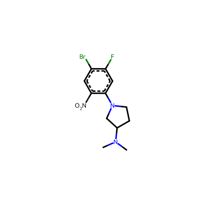 CN(C)C1CCN(c2cc(F)c(Br)cc2[N+](=O)[O-])C1